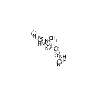 Cc1cn2c(-c3ccc(CC(=O)Nc4ccncc4F)s3)cnc2c(Nc2cc(CN3CCCCC3)ns2)n1